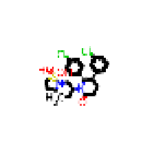 CCC(CN1CCCS1(O)O)N1C(=O)CC[C@H](c2cccc(Cl)c2)[C@H]1c1ccc(Cl)cc1